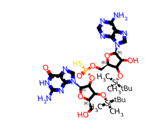 CC(C)(C)[Si](C)(C)OC1C(O)[C@H](n2cnc3c(N)ncnc32)O[C@@H]1COP(=O)(S)OC1C(O[Si](C)(C)C(C)(C)C)[C@@H](CO)O[C@H]1n1cnc2c(=O)[nH]c(N)nc21